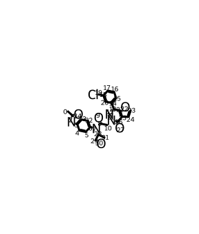 Cc1nc2ccc(N(C(=O)Cn3nc(-c4cccc(Cl)c4)c4occc4c3=O)C3COC3)cc2o1